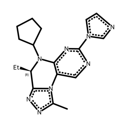 CC[C@@H]1c2nnc(C)n2-c2cnc(-n3ccnc3)nc2N1C1CCCC1